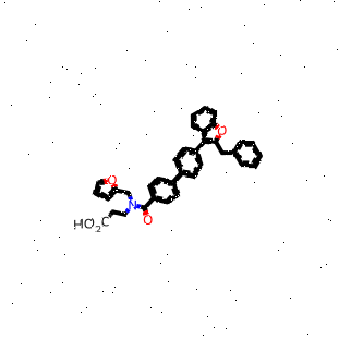 O=C(O)CCN(Cc1ccco1)C(=O)c1ccc(-c2ccc(-c3c(Cc4ccccc4)oc4ccccc34)cc2)cc1